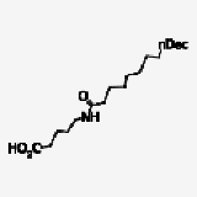 CCCCCCCCCCCCCCCCCC(=O)NCCCCC(=O)O